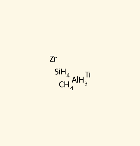 C.[AlH3].[SiH4].[Ti].[Zr]